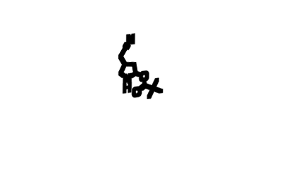 CC(C)(C)C(=O)OC1CC(CC#N)CN1